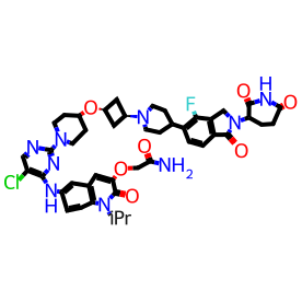 CC(C)n1c(=O)c(OCC(N)=O)cc2cc(Nc3nc(N4CCC(O[C@H]5C[C@H](N6CCC(c7ccc8c(c7F)CN(C7CCC(=O)NC7=O)C8=O)CC6)C5)CC4)ncc3Cl)ccc21